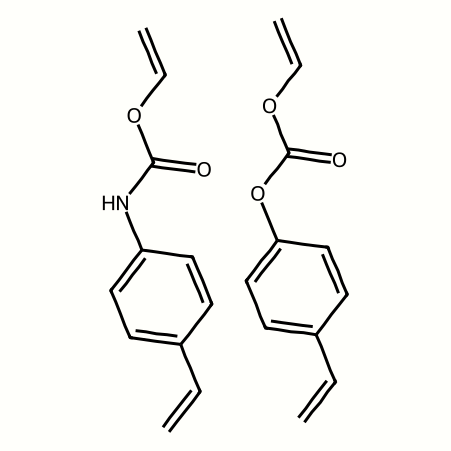 C=COC(=O)Nc1ccc(C=C)cc1.C=COC(=O)Oc1ccc(C=C)cc1